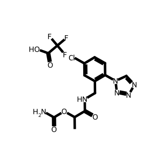 CC(OC(N)=O)C(=O)NCc1cc(Cl)ccc1-n1cnnn1.O=C(O)C(F)(F)F